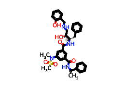 C[C@@H](NC(=O)c1cc(C(=O)N[C@@H](Cc2ccccc2)[C@H](O)CNCc2ccccc2O)cc(N(C)S(C)(=O)=O)c1)c1ccccc1